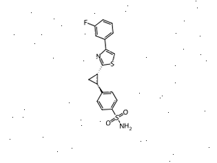 NS(=O)(=O)c1ccc([C@H]2C[C@@H]2c2nc(-c3cccc(F)c3)cs2)cc1